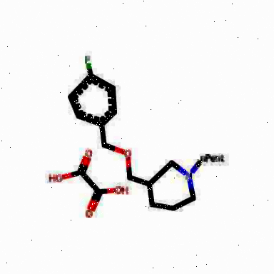 CCCCCN1CCCC(COCc2ccc(F)cc2)C1.O=C(O)C(=O)O